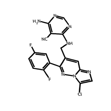 N#Cc1c(N)ncnc1NCc1cc2ncc(Cl)n2nc1-c1cc(F)ccc1F